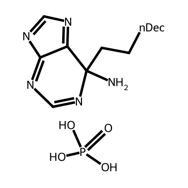 CCCCCCCCCCCCC1(N)N=CN=C2N=CN=C21.O=P(O)(O)O